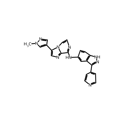 Cn1cc(-c2cnc3c(Nc4ccc5[nH]nc(-c6ccncc6)c5c4)nccn23)cn1